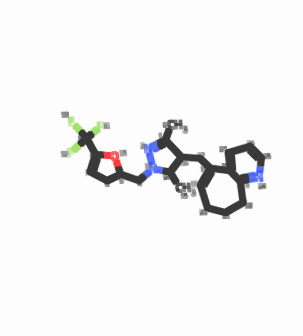 CC1=NN(CC2CC=C(C(F)(F)F)O2)C(C)C1CC1=CCCCc2ncccc21